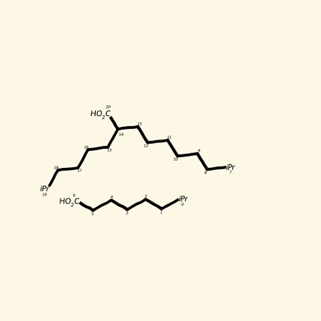 CC(C)CCCCCC(=O)O.CC(C)CCCCCCC(CCCCC(C)C)C(=O)O